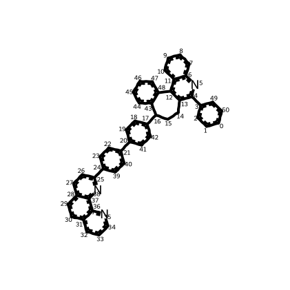 c1ccc(-c2nc3ccccc3c3c2CCC(c2ccc(-c4ccc(-c5ccc6ccc7cccnc7c6n5)cc4)cc2)c2ccccc2-3)cc1